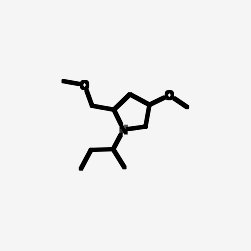 CCC(C)N1CC(OC)CC1COC